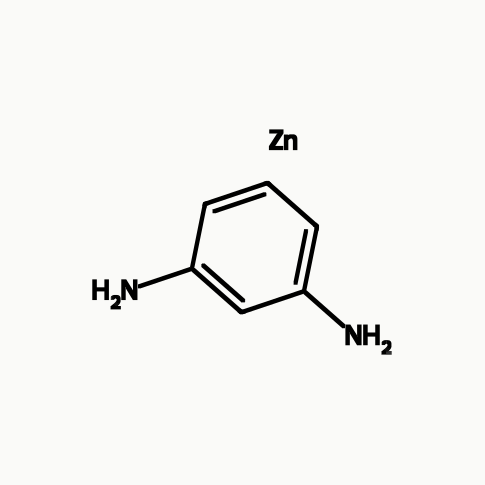 Nc1cccc(N)c1.[Zn]